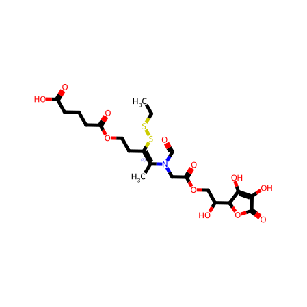 CCSS/C(CCOC(=O)CCCC(=O)O)=C(/C)N(C=O)CC(=O)OCC(O)C1OC(=O)C(O)=C1O